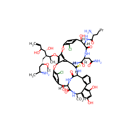 C=CC(O)[C@H](O)[C@H](C[C@@H](CC(C)N)OCC)C(C)Oc1c2cc3cc1Oc1ccc(cc1Cl)[C@@H](O)[C@@H](NC(=O)[C@H](N)CC(C)C)C(=O)N[C@@H](CC(N)=O)C(=O)N[C@H]3C(=S)N[C@H]1C(=O)N[C@H](C(=O)N[C@H](C(=O)O)c3cc(O)cc(O)c3-c3cccc1c3)[C@H](O)c1ccc(c(Cl)c1)O2